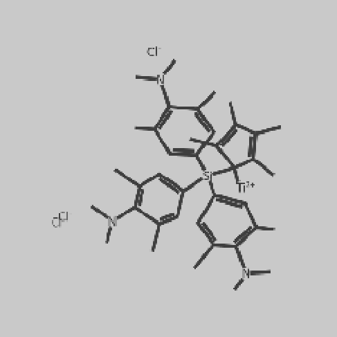 CC1=C(C)[C]([Ti+3])([Si](c2cc(C)c(N(C)C)c(C)c2)(c2cc(C)c(N(C)C)c(C)c2)c2cc(C)c(N(C)C)c(C)c2)C(C)=C1C.[Cl-].[Cl-].[Cl-]